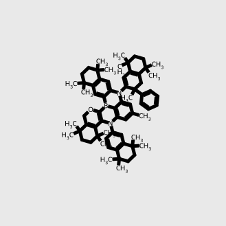 Cc1cc2c3c(c1)N(C1=CC4=C(CC1(C)c1ccccc1)C(C)(C)CCC4(C)C)c1cc4c(cc1B3C1=C(C3=C(CO1)C(C)(C)CCC3(C)C)N2c1ccc2c(c1)C(C)(C)CCC2(C)C)C(C)(C)CCC4(C)C